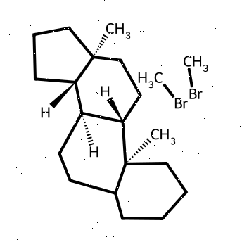 CBr.CBr.C[C@@]12CCC[C@H]1[C@@H]1CCC3CCCC[C@]3(C)[C@H]1CC2